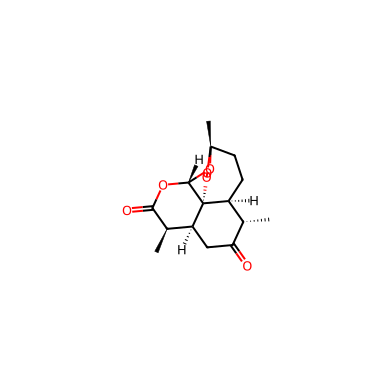 C[C@@H]1C(=O)C[C@H]2[C@@H](C)C(=O)O[C@@H]3O[C@@]4(C)CC[C@@H]1[C@]32OO4